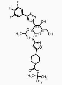 CC(C)O[C@@H]1[C@@H](n2cc(-c3cc(F)c(F)c(F)c3)nn2)[C@@H](O)[C@@H](CO)O[C@@H]1Cc1cc(C2CCN(C(=O)OC(C)(C)C)CC2)on1